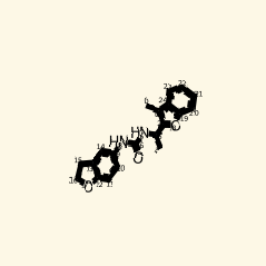 Cc1c(C(C)NC(=O)Nc2ccc3c(c2)CCO3)oc2ccccc12